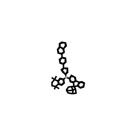 CC1(C)CCC(C)(C)c2cc(N(c3ccc(-c4ccc(-c5ccc6ccccc6c5)cc4)cc3)c3ccc4c(c3)C3(c5ccccc5-4)C4CC5CC6CC3C64C5)ccc21